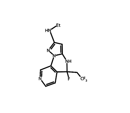 CCNc1cc2n(n1)-c1cnccc1C(F)(CC(F)(F)F)N2